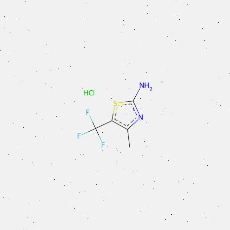 Cc1nc(N)sc1C(F)(F)F.Cl